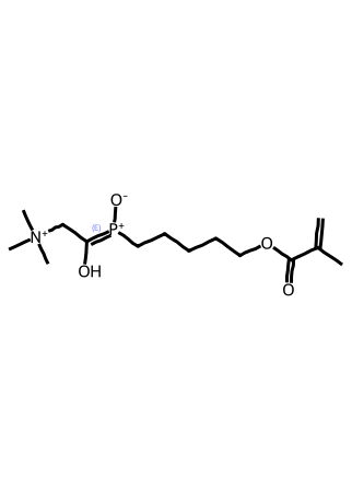 C=C(C)C(=O)OCCCCC/[P+]([O-])=C(\O)C[N+](C)(C)C